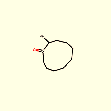 [2H]C1CCCCCCCC[Si]1=O